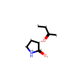 CCC(C)=O.O=C1CCCN1